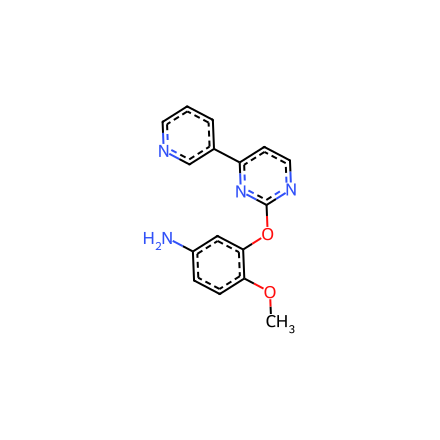 COc1ccc(N)cc1Oc1nccc(-c2cccnc2)n1